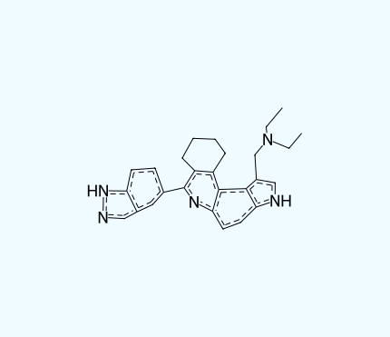 CCN(CC)Cc1c[nH]c2ccc3nc(-c4ccc5[nH]ncc5c4)c4c(c3c12)CCCC4